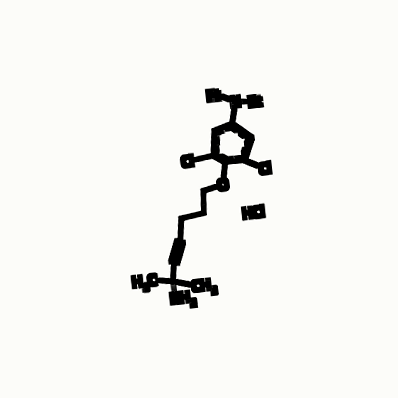 CCN(CC)c1cc(Cl)c(OCCCC#CC(C)(C)N)c(Cl)c1.Cl